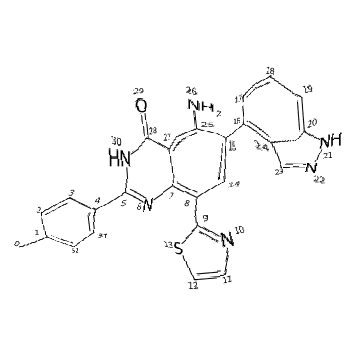 Cc1ccc(-c2nc3c(-c4nccs4)cc(-c4cccc5[nH]ncc45)c(N)c3c(=O)[nH]2)cc1